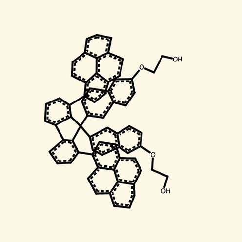 OCCOc1ccc2cc(C3(c4ccc5cc(OCCO)ccc5c4)c4c(cccc4-c4ccc5ccc6cccc7ccc4c5c67)-c4cccc(-c5ccc6ccc7cccc8ccc5c6c78)c43)ccc2c1